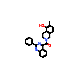 Cc1ccc2c(c1O)CCN(C(=O)c1nc(-c3ccccc3)nc3ccccc13)C2